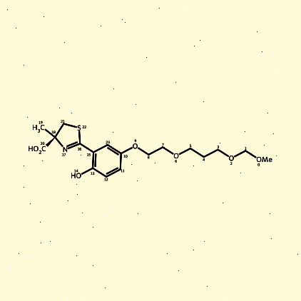 COCOCCCOCCOc1ccc(O)c(C2=N[C@@](C)(C(=O)O)CS2)c1